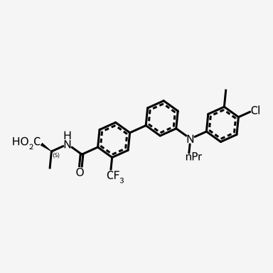 CCCN(c1cccc(-c2ccc(C(=O)N[C@@H](C)C(=O)O)c(C(F)(F)F)c2)c1)c1ccc(Cl)c(C)c1